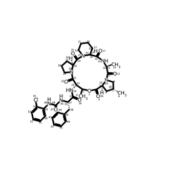 CC1OC(=O)[C@@H]2C[C@@H](C)CN2C(=O)[C@H](C)NC(=O)[C@@H]2CCCCN2C(=O)[C@@H]2CCCN2C(=O)[C@H]1NC(=O)[C@H](Cc1ccccc1)NC(=O)Nc1ccccc1Cl